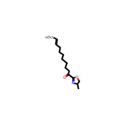 CCCCCCCCC=CCCCCCCCC(=O)C1=NC(C)CO1